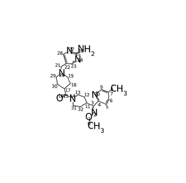 CON=C(c1ccc(C)cn1)C1CCN(C(=O)C2CCN(Cc3cnc(N)nc3)CC2)CC1